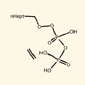 C=C.CCCCCCCCOOP(=O)(O)OP(=O)(O)O